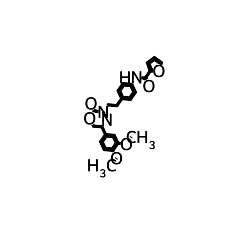 COc1ccc(C2=NN(CCc3ccc(NC(=O)c4ccco4)cc3)C(=O)OC2)cc1OC